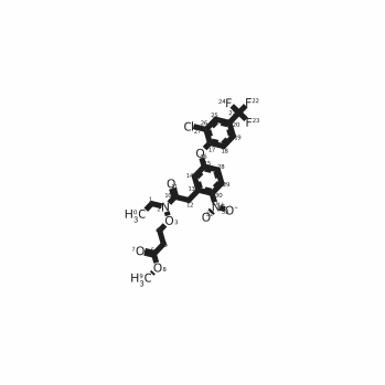 CCN(OCCC(=O)OC)C(=O)Cc1cc(Oc2ccc(C(F)(F)F)cc2Cl)ccc1[N+](=O)[O-]